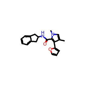 Cc1cn(C)c(C(=O)NC2Cc3ccccc3C2)c1-c1ccco1